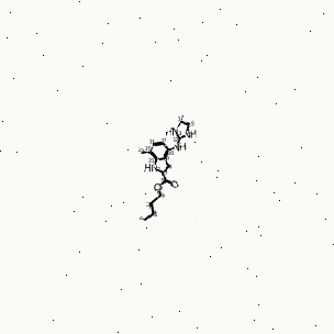 CCCCOC(=O)C1Cc2c(NC3NCCN3)ccc(C)c2N1